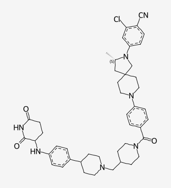 C[C@H]1CC2(CCN(c3ccc(C(=O)N4CCC(CN5CCC(c6ccc(NC7CCC(=O)NC7=O)cc6)CC5)CC4)cc3)CC2)CN1c1ccc(C#N)c(Cl)c1